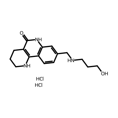 Cl.Cl.O=c1[nH]c2cc(CNCCCO)ccc2c2c1CCCN2